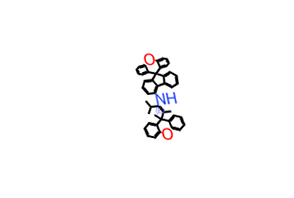 C/C(=C(\Nc1cccc2c1-c1ccccc1C21c2ccccc2Oc2ccccc21)C(C)C)C1(C)c2ccccc2Oc2ccccc21